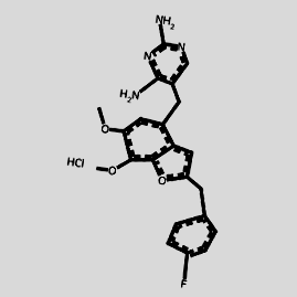 COc1cc(Cc2cnc(N)nc2N)c2cc(Cc3ccc(F)cc3)oc2c1OC.Cl